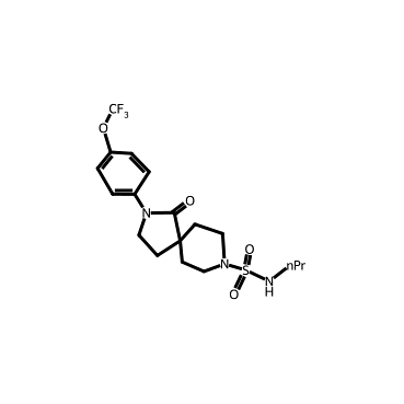 CCCNS(=O)(=O)N1CCC2(CCN(c3ccc(OC(F)(F)F)cc3)C2=O)CC1